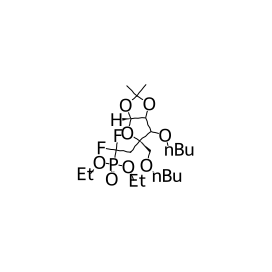 CCCCOC[C@@]1(CC(F)(F)P(=O)(OCC)OCC)O[C@@H]2OC(C)(C)OC2C1OCCCC